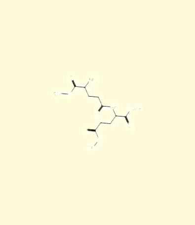 COC(=O)C(CCC(=O)OC(C)(C)C)NC(=O)CCC(N)C(=O)OC(C)(C)C